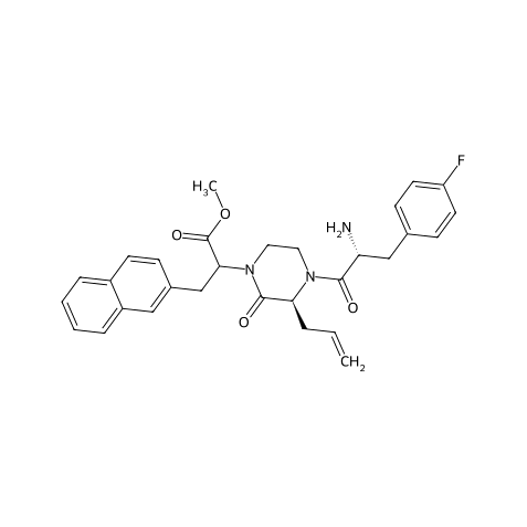 C=CC[C@H]1C(=O)N(C(Cc2ccc3ccccc3c2)C(=O)OC)CCN1C(=O)[C@H](N)Cc1ccc(F)cc1